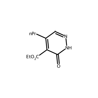 CCCc1[c]n[nH]c(=O)c1C(=O)OCC